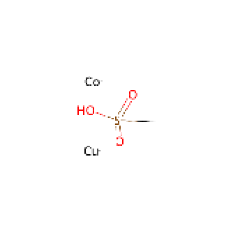 CS(=O)(=O)O.[Co].[Cu]